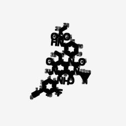 C#Cc1ccc(Nc2c3c(=O)n(C4CC4)c(=O)n(-c4cccc(NS(=O)(=O)CC)c4)c3c(CC)c(=O)n2C)c(F)c1